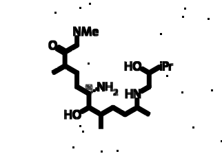 CNCC(=O)C(C)CC[C@H](N)C(O)C(C)CCC(C)NCC(O)C(C)C